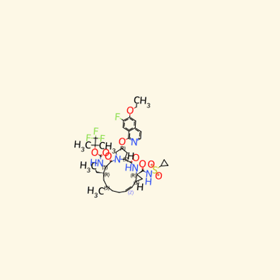 CCOc1cc2ccnc(O[C@@H]3C[C@H]4C(=O)N[C@]5(C(=O)NS(=O)(=O)C6CC6)C[C@H]5/C=C\CC[C@H](C)C[C@@H](CC)[C@H](NC(=O)OC(C)(C)C(F)(F)F)C(=O)N4C3)c2cc1F